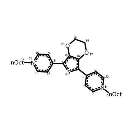 CCCCCCCC[n+]1ccc(-c2sc(-c3cc[n+](CCCCCCCC)cc3)c3c2OCCO3)cc1